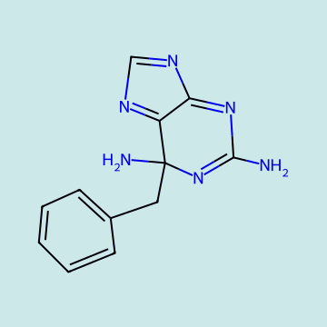 NC1=NC(N)(Cc2ccccc2)C2=NC=NC2=N1